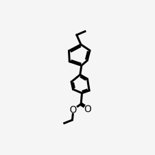 CCOC(=O)c1ccc(-c2ccc(CC)cc2)cc1